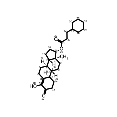 C[C@]12CC[C@H]3[C@@H](CCC4=C(O)C(=O)CC[C@@H]43)[C@@H]1CC[C@@H]2OC(=O)CCC1CCCCC1